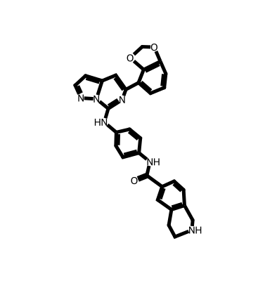 O=C(Nc1ccc(Nc2nc(-c3cccc4c3OCO4)cc3ccnn23)cc1)c1ccc2c(c1)CCNC2